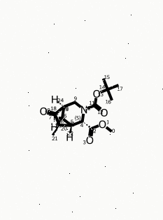 COC(=O)[C@@H]1[C@H]2[C@H](F)[C@H](CN1C(=O)OC(C)(C)C)C(=O)[C@@H]2C